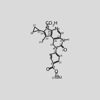 CN1C(=O)N(c2ccc(C(=O)OC(C)(C)C)cc2)Cc2c1cnc1c2c(I)c(C2CC2)n1C(=O)O